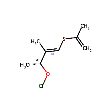 C=C(C)S/C=C(\C)[C@@H](C)OCl